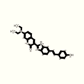 CCN(CC)c1ccc2cc(-c3nc4ccc(/C=C/c5ccc(O)cc5)cc4[nH]3)c(=O)oc2c1